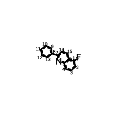 Fc1cccc2nc(-c3ccccc3)ccc12